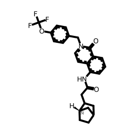 O=C(CC1CC2CC[C@H]1C2)Nc1cccc2c(=O)n(Cc3ccc(OC(F)(F)F)cc3)ccc12